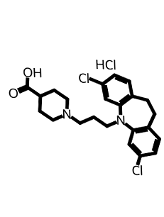 Cl.O=C(O)C1CCN(CCCN2c3cc(Cl)ccc3CCc3ccc(Cl)cc32)CC1